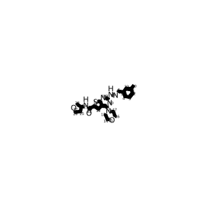 Cc1cccc(/C=N/Nc2nc(N3CCOCC3)c3cc(C(=O)NC4CCOC4)sc3n2)c1